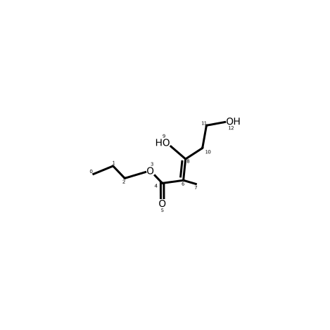 CCCOC(=O)C(C)=C(O)CCO